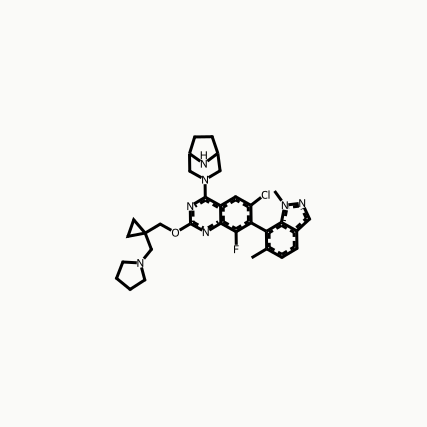 Cc1ccc2cnn(C)c2c1-c1c(Cl)cc2c(N3CC4CCC(C3)N4)nc(OCC3(CN4CCCC4)CC3)nc2c1F